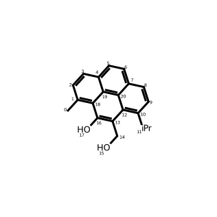 Cc1ccc2ccc3ccc(C(C)C)c4c(CO)c(O)c1c2c34